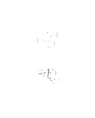 Nc1ccc(SCCCS(=O)(=O)NS(=O)(=O)C(F)(F)F)cc1O